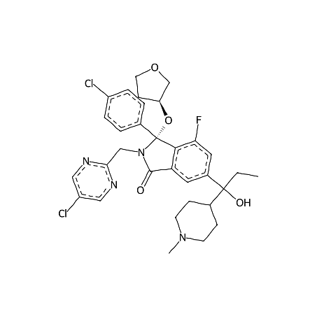 CCC(O)(c1cc(F)c2c(c1)C(=O)N(Cc1ncc(Cl)cn1)[C@@]2(O[C@H]1CCOC1)c1ccc(Cl)cc1)C1CCN(C)CC1